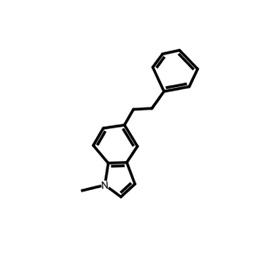 Cn1ccc2cc(CCc3ccccc3)ccc21